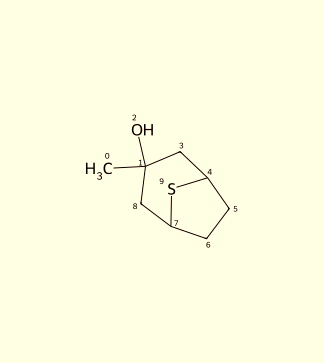 CC1(O)CC2CCC(C1)S2